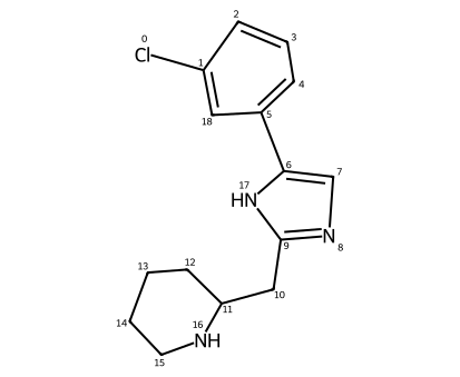 Clc1cccc(-c2cnc(CC3CCCCN3)[nH]2)c1